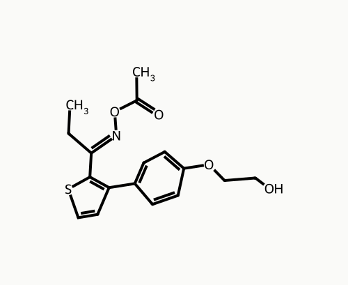 CCC(=NOC(C)=O)c1sccc1-c1ccc(OCCO)cc1